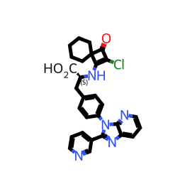 O=C(O)[C@H](Cc1ccc(-n2c(-c3cccnc3)nc3cccnc32)cc1)NC1=C(Cl)C(=O)C12CCCCC2